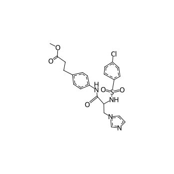 COC(=O)CCc1ccc(NC(=O)C(Cn2ccnc2)NS(=O)(=O)c2ccc(Cl)cc2)cc1